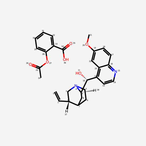 C=C[C@@H]1CN2CCC1C[C@@H]2[C@H](O)c1ccnc2ccc(OC)cc12.CC(=O)Oc1ccccc1C(=O)O